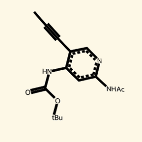 CC#Cc1cnc(NC(C)=O)cc1NC(=O)OC(C)(C)C